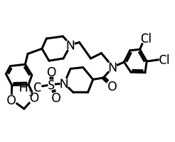 CS(=O)(=O)N1CCC(C(=O)N(CCCN2CCC(Cc3ccc4c(c3)OCO4)CC2)c2ccc(Cl)c(Cl)c2)CC1